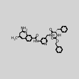 CC1=Cc2ccc(C(=O)Nc3cncc(CNC(=O)[C@H](Cc4ccccc4)NC(=O)OCc4ccccc4)c3)cc2N=C(N)C1